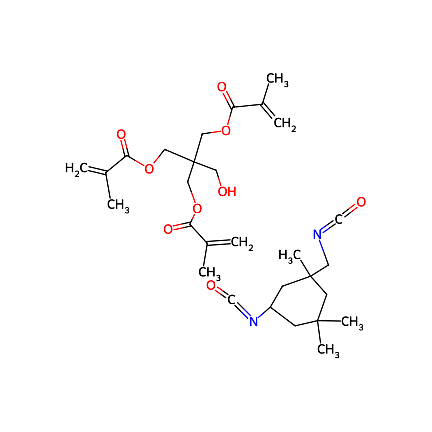 C=C(C)C(=O)OCC(CO)(COC(=O)C(=C)C)COC(=O)C(=C)C.CC1(C)CC(N=C=O)CC(C)(CN=C=O)C1